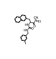 CCN(C#N)C(=O)C(Cc1ccc2ccccc2c1)NC(=O)NCc1cccc(C)c1